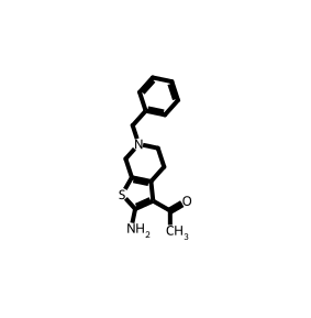 CC(=O)c1c(N)sc2c1CCN(Cc1ccccc1)C2